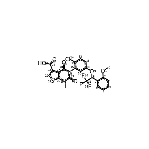 COc1ccccc1C(Oc1ccc(Cl)c(-n2c(=O)[nH]c3scc(C(=O)O)c3c2=O)c1)C(F)(F)F